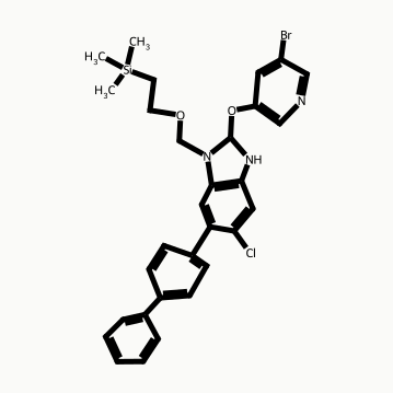 C[Si](C)(C)CCOCN1c2cc(-c3ccc(-c4ccccc4)cc3)c(Cl)cc2NC1Oc1cncc(Br)c1